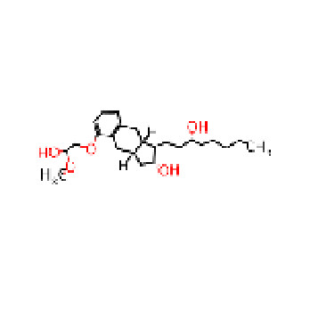 CCCCC[C@@H](O)CC[C@@H]1[C@H]2Cc3cccc(OCC(O)OC)c3C[C@H]2C[C@H]1O